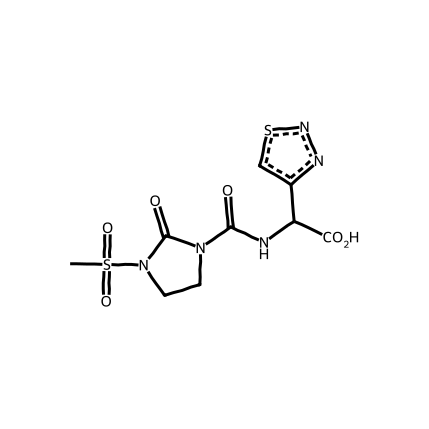 CS(=O)(=O)N1CCN(C(=O)NC(C(=O)O)c2csnn2)C1=O